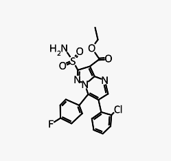 CCOC(=O)c1c(S(N)(=O)=O)nn2c(-c3ccc(F)cc3)c(-c3ccccc3Cl)cnc12